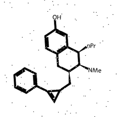 CCC[C@@H]1c2cc(O)ccc2C[C@H](CC2C=C2c2ccccc2)[C@@H]1NC